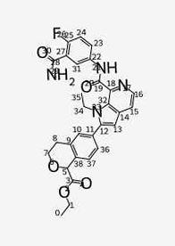 CCOC(=O)C1OCCc2cc(-c3cc4ccnc(C(=O)Nc5ccc(F)c(C(N)=O)c5)c4n3CC)ccc21